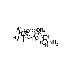 CC(C)OC(=O)C(C)N[P]1(O)OCO[C@@H]2[C@@H](CO1)O[C@@H](n1cnc3c(N)ncnc31)[C@]2(C)O